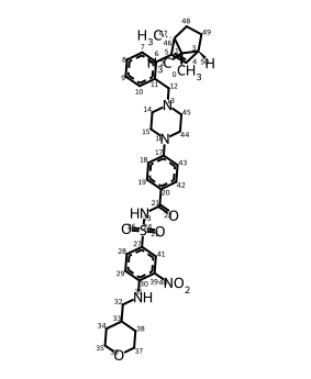 CC1(C)[C@H]2C=C(c3ccccc3CN3CCN(c4ccc(C(=O)NS(=O)(=O)c5ccc(NCC6CCOCC6)c([N+](=O)[O-])c5)cc4)CC3)[C@@]1(C)CC2